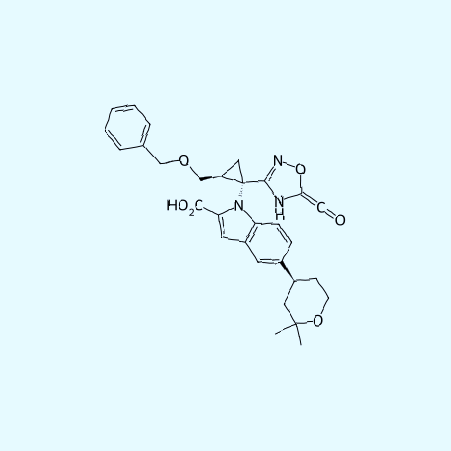 CC1(C)C[C@@H](c2ccc3c(c2)cc(C(=O)O)n3[C@@]2(C3=NOC(=C=O)N3)C[C@@H]2COCc2ccccc2)CCO1